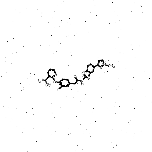 Cn1ccc(-c2ccc3sc(NC(=O)Cc4ccc(Oc5ncccc5C(N)O)c(F)c4)nc3c2)n1